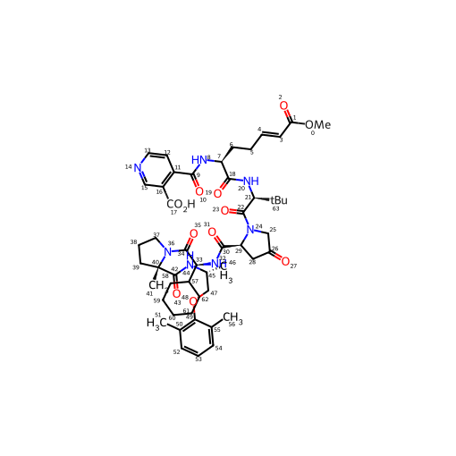 COC(=O)/C=C/CC[C@H](NC(=O)c1ccncc1C(=O)O)C(=O)N[C@H](C(=O)N1CC(=O)C[C@H]1C(=O)N[C@H](C(=O)N1CCC[C@@]1(C)C(=O)N[C@H](C)COc1c(C)cccc1C)C1CCCCC1)C(C)(C)C